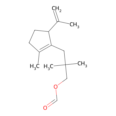 C=C(C)C1CCC(C)=C1CC(C)(C)COC=O